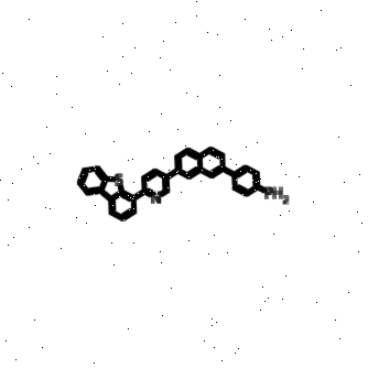 Pc1ccc(-c2ccc3ccc(-c4ccc(-c5cccc6c5sc5ccccc56)nc4)cc3c2)cc1